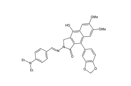 CCN(CC)c1ccc(/C=N/N2Cc3c(c(-c4ccc5c(c4)OCO5)c4cc(OC)c(OC)cc4c3O)C2=O)cc1